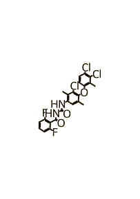 Cc1cc(NC(=O)NC(=O)c2c(F)cccc2F)c(C)c(Cl)c1Oc1ccc(Cl)c(Cl)c1C